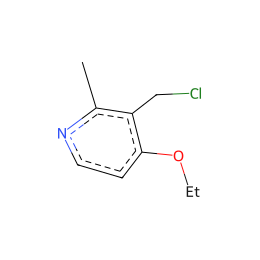 CCOc1ccnc(C)c1CCl